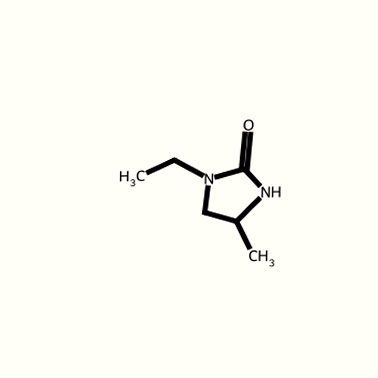 CCN1CC(C)NC1=O